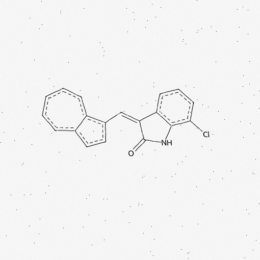 O=C1Nc2c(Cl)cccc2C1=Cc1ccc2cccccc1-2